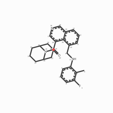 Cc1c(F)cccc1NCc1cccc2cncc(C(=O)N3C4CCCC3COC4)c12